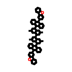 Cc1cc(-c2c3ccccc3c(-c3ccc4oc5ccccc5c4c3)c3ccccc23)c2cc(C)cc(-c3cc(C)cc4c(-c5c6ccccc6c(-c6ccc7oc8ccccc8c7c6)c6ccccc56)cc(C)cc34)c2c1